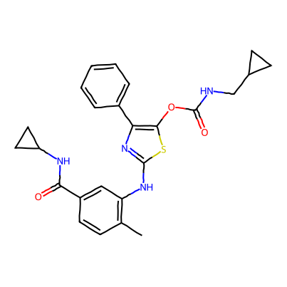 Cc1ccc(C(=O)NC2CC2)cc1Nc1nc(-c2ccccc2)c(OC(=O)NCC2CC2)s1